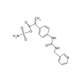 C=C(C(=O)OS(N)(=O)=O)c1ccc(NC(=O)NCc2cccnc2)cc1